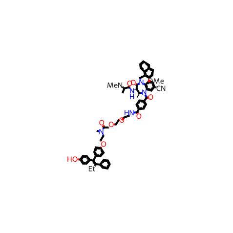 CC/C(=C(\c1ccc(O)cc1)c1ccc(OCCN(C)C(=O)COCCOCCNC(=O)c2ccc(C(=O)N3c4cc(C#N)ccc4N(Cc4c(OC)ccc5ccccc45)C(=O)[C@@H](NC(=O)C(C)NC)[C@@H]3C)cc2)cc1)c1ccccc1